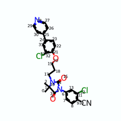 CC1(C)C(=O)N(c2ccc(C#N)c(Cl)c2)C(=O)N1CCCOc1ccc(-c2ccncc2)cc1Cl